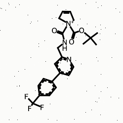 CC(C)(C)OC(=O)[N+]1(C(=O)NCc2cc(-c3ccc(C(F)(F)F)cc3)ccn2)CC=CC1